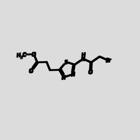 COC(=O)CCc1nnc(NC(=O)CBr)s1